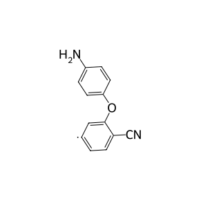 N#Cc1cc[c]cc1Oc1ccc(N)cc1